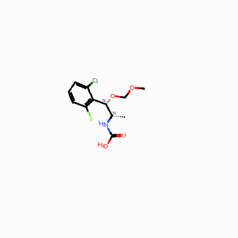 COCO[C@@H](c1c(F)cccc1Cl)[C@H](C)NC(=O)O